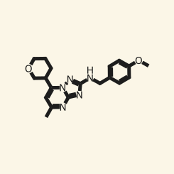 COc1ccc(CNc2nc3nc(C)cc(C4CCCOC4)n3n2)cc1